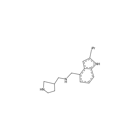 CC(C)c1cc2c(CNCC3CCNC3)cccc2[nH]1